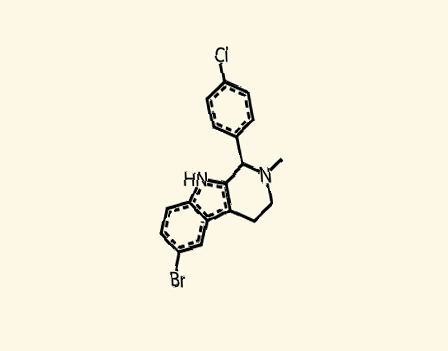 CN1CCc2c([nH]c3ccc(Br)cc23)C1c1ccc(Cl)cc1